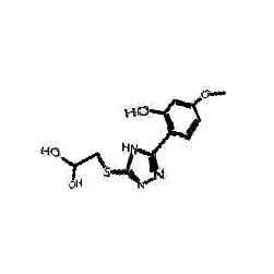 COc1ccc(-c2nnc(SCC(O)O)[nH]2)c(O)c1